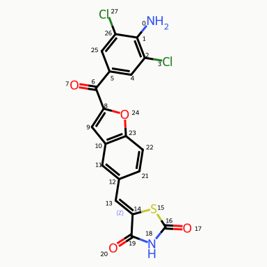 Nc1c(Cl)cc(C(=O)c2cc3cc(/C=C4\SC(=O)NC4=O)ccc3o2)cc1Cl